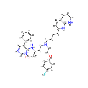 CC(=O)[C@H](CCN(CCCCc1ccc2c(n1)NCCC2)CCOc1ccc(F)cc1)Nc1c(-c2ccccc2)cnc[n+]1O